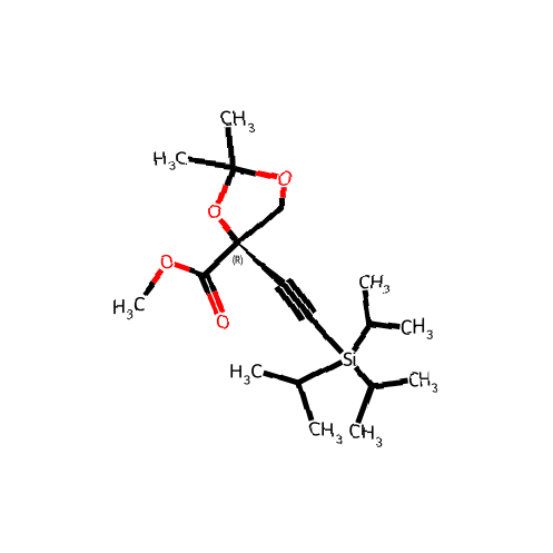 COC(=O)[C@@]1(C#C[Si](C(C)C)(C(C)C)C(C)C)COC(C)(C)O1